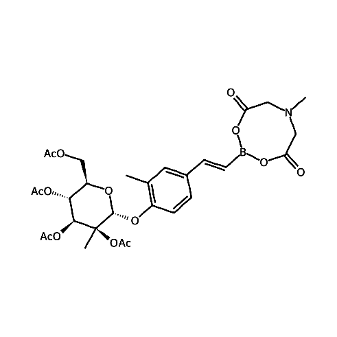 CC(=O)OC[C@H]1O[C@H](Oc2ccc(C=CB3OC(=O)CN(C)CC(=O)O3)cc2C)[C@@](C)(OC(C)=O)[C@@H](OC(C)=O)[C@@H]1OC(C)=O